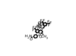 CC[C@@H]1CC(N(Cc2cc(C(F)(F)F)cc(C(F)(F)F)c2)c2nnn(C)n2)c2cc(C(F)(F)F)ccc2N1C(=O)[C@H]1CC[C@H](C(N)=O)CC1